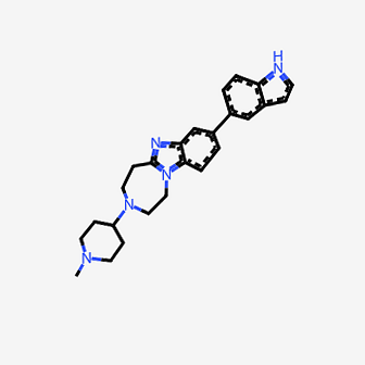 CN1CCC(N2CCc3nc4cc(-c5ccc6[nH]ccc6c5)ccc4n3CC2)CC1